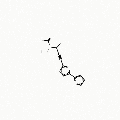 CC(C#Cc1ccc(-c2cccs2)s1)N(O)C(N)=O